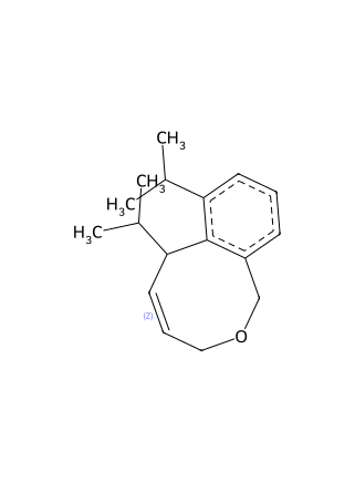 CC(C)c1cccc2c1C(C(C)C)/C=C\COC2